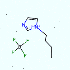 CCCC[NH+]1C=CN=C1.F[B-](F)(F)F